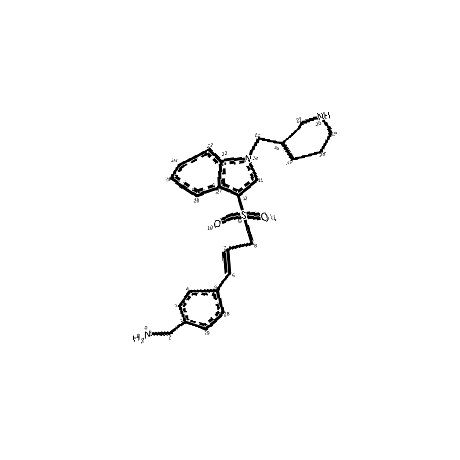 NCc1ccc(C=CCS(=O)(=O)c2cn(CC3CCCNC3)c3ccccc23)cc1